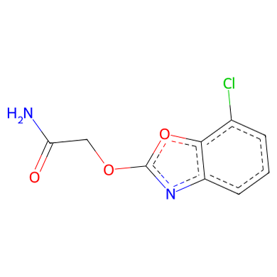 NC(=O)COc1nc2cccc(Cl)c2o1